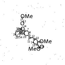 COCCOCOc1ccc(C(C)=Cc2ccc(C(=O)OC)c(OC)c2)cc1C12CC3CC(CC(C3)C1)C2